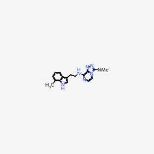 CNc1nnc2c(NCCc3c[nH]c4c(C)cccc34)nccn12